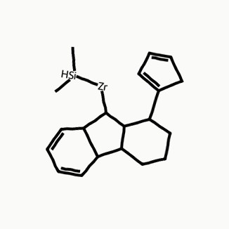 C[SiH](C)[Zr][CH]1C2C=CC=CC2C2CCCC(C3=CC=CC3)C21